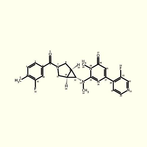 Cc1ccc(C(=O)N2C[C@@H]3[C@H](C2)[C@H]3N(C)c2nc(-c3ccncc3F)cc(=O)n2C)cc1F